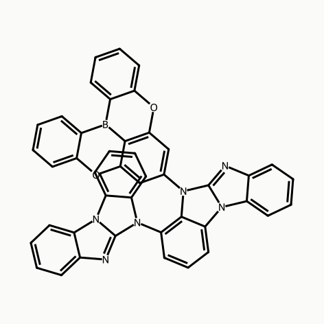 c1ccc2c(c1)Oc1cc(-n3c4c(-n5c6ccccc6n6c7ccccc7nc56)cccc4n4c5ccccc5nc34)cc3c1B2c1ccccc1O3